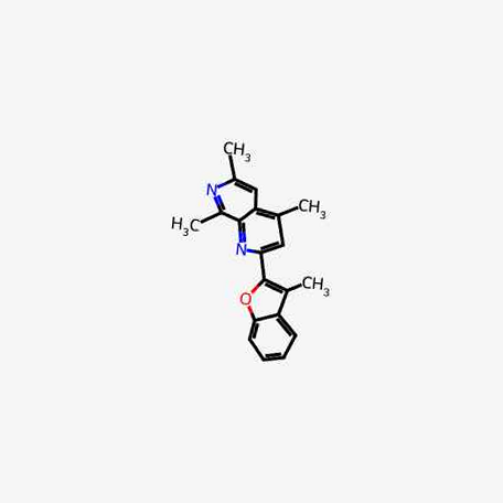 Cc1cc2c(C)cc(-c3oc4ccccc4c3C)nc2c(C)n1